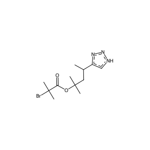 CC(CC(C)(C)OC(=O)C(C)(C)Br)c1c[nH]nn1